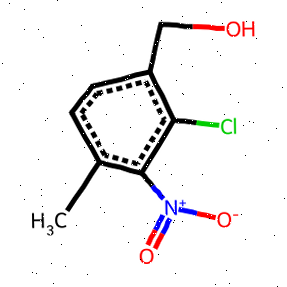 Cc1ccc(CO)c(Cl)c1[N+](=O)[O-]